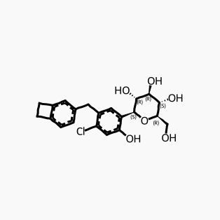 OC[C@H]1O[C@@H](c2cc(Cc3ccc4c(c3)CC4)c(Cl)cc2O)[C@H](O)[C@@H](O)[C@@H]1O